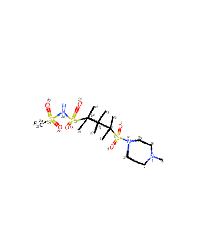 CN1CCN(S(=O)(=O)C(C)(C)C(C)(C)C(C)(C)S(=O)(=O)NS(=O)(=O)C(F)(F)F)CC1